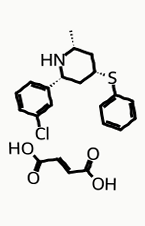 C[C@@H]1C[C@H](Sc2ccccc2)C[C@H](c2cccc(Cl)c2)N1.O=C(O)/C=C/C(=O)O